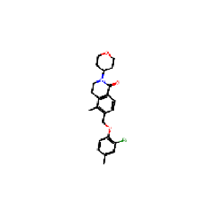 Cc1ccc(OCc2ccc3c(c2C)CCN(C2CCOCC2)C3=O)c(Br)c1